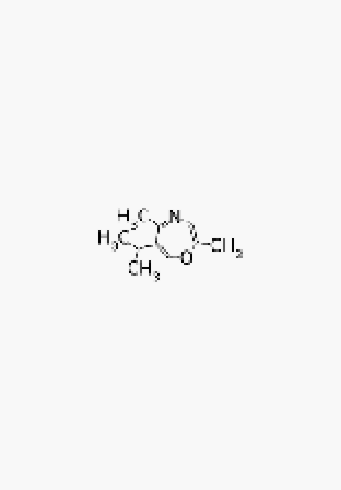 CC1=CN=C(C)C(C(C)C)=CO1